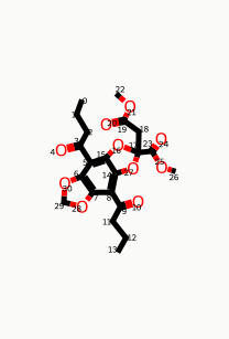 CCCC(=O)c1c2c(c(C(=O)CCC)c3c1OC(CC(=O)OC)(C(=O)OC)O3)OCO2